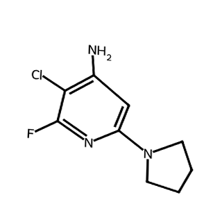 Nc1cc(N2CCCC2)nc(F)c1Cl